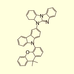 CC1(C)c2ccccc2Oc2c(-n3c4ccccc4c4cc(N5c6nc7ccccc7n6C6=CC=CCC65)ccc43)cccc21